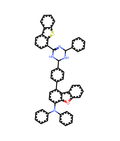 c1ccc(C2N=C(c3cccc4c3sc3ccccc34)NC(c3ccc(-c4ccc(N(c5ccccc5)c5ccccc5)c5oc6ccccc6c45)cc3)N2)cc1